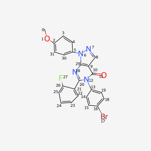 COc1ccc(-n2ncc3c(=O)n(-c4ccc(Br)cc4)c(-c4ccccc4F)nc32)cc1